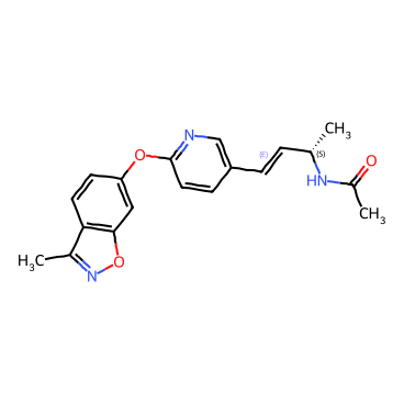 CC(=O)N[C@@H](C)/C=C/c1ccc(Oc2ccc3c(C)noc3c2)nc1